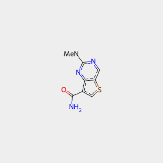 CNc1ncc2scc(C(N)=O)c2n1